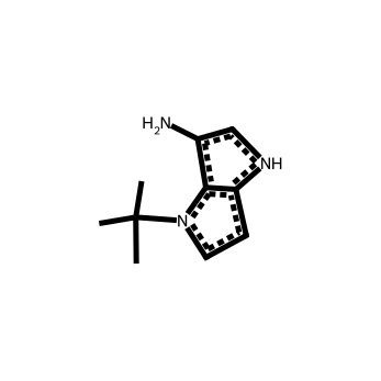 CC(C)(C)n1ccc2[nH]cc(N)c21